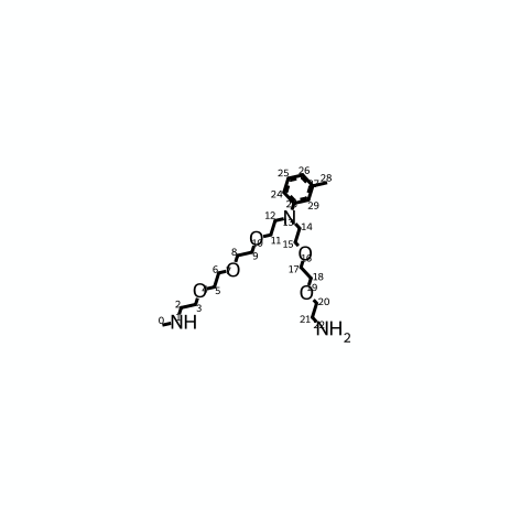 CNCCOCCOCCOCCN(CCOCCOCCN)c1cccc(C)c1